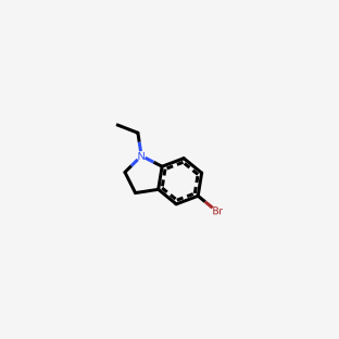 CCN1CCc2cc(Br)ccc21